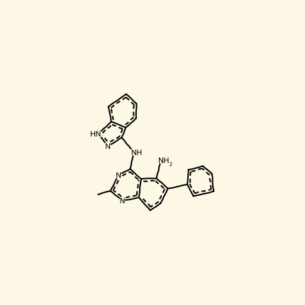 Cc1nc(Nc2n[nH]c3ccccc23)c2c(N)c(-c3ccccc3)ccc2n1